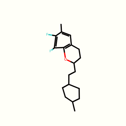 Cc1cc2c(c(F)c1F)OC(CCC1CCC(C)CC1)CC2